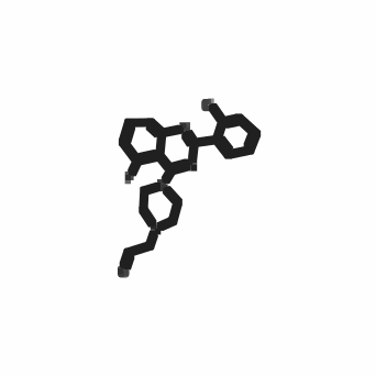 O=CCN1CCN(c2nc(-c3ccccc3Cl)nc3cccc(F)c23)CC1